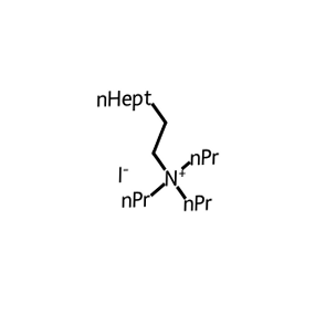 CCCCCCCCC[N+](CCC)(CCC)CCC.[I-]